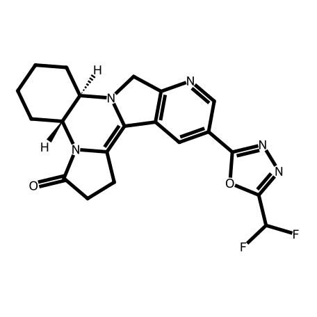 O=C1CCC2=C3c4cc(-c5nnc(C(F)F)o5)cnc4CN3[C@@H]3CCCC[C@H]3N12